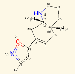 Cc1cc(C2=CC[C@H]3CCCN[C@H]3C2)on1